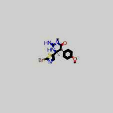 COc1ccc([C@H]2C(=O)N(C)C(=N)N[C@]2(C)c2cnc(Br)s2)cc1